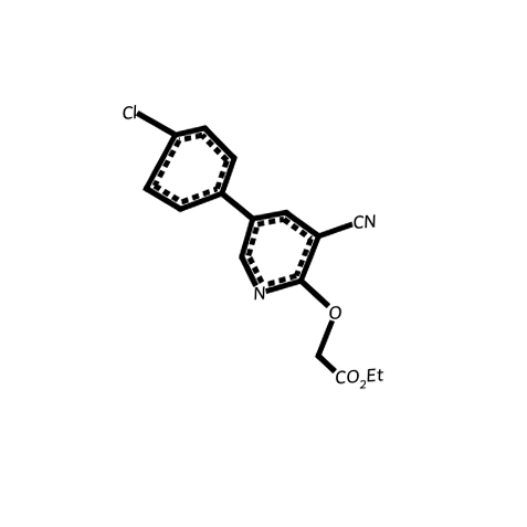 CCOC(=O)COc1ncc(-c2ccc(Cl)cc2)cc1C#N